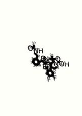 CO[C@]1(c2ccc(F)c(F)c2)CCN(C(=O)O)C(C(C)(C)C)[C@@H]1c1noc(-c2ccccc2CCNC(C)=O)c1Br